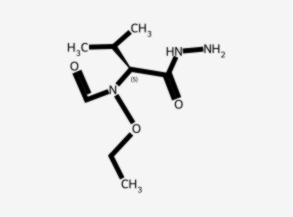 CCON(C=O)[C@H](C(=O)NN)C(C)C